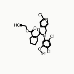 C#CCOC(=O)C1=C(C(=O)N(Cc2ccc(Cl)nc2)c2cc(OC(C)C)c(Cl)cc2Cl)CCCC1